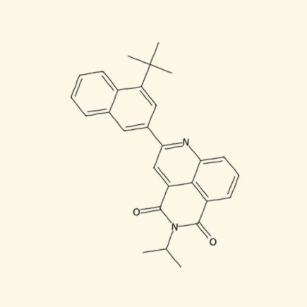 CC(C)N1C(=O)c2cccc3nc(-c4cc(C(C)(C)C)c5ccccc5c4)cc(c23)C1=O